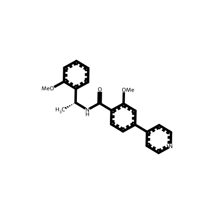 COc1cc(-c2ccncc2)ccc1C(=O)N[C@H](C)c1ccccc1OC